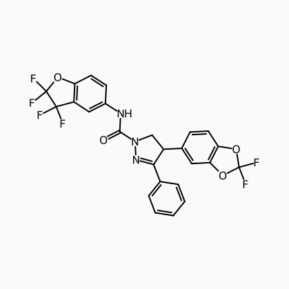 O=C(Nc1ccc2c(c1)C(F)(F)C(F)(F)O2)N1CC(c2ccc3c(c2)OC(F)(F)O3)C(c2ccccc2)=N1